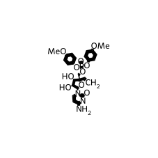 C=C[C@]1(COP(=O)(Oc2ccc(OC)cc2)Oc2ccc(OC)cc2)O[C@@H](n2ccc(N)nc2=O)[C@H](O)[C@@H]1O